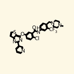 CN1CCN(Cc2ccc(NC(=O)c3cc(Oc4nc(-c5cccnc5)nc5ccsc45)ccc3Cl)cc2C(F)(F)F)CC1